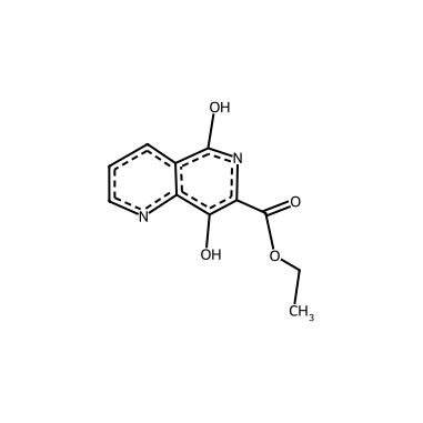 CCOC(=O)c1nc(O)c2cccnc2c1O